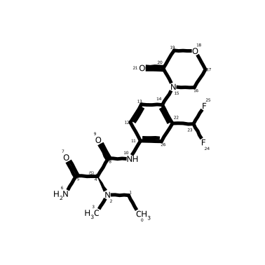 CCN(C)[C@@H](C(N)=O)C(=O)Nc1ccc(N2CCOCC2=O)c(C(F)F)c1